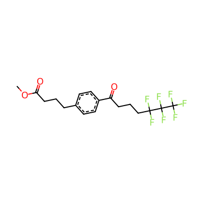 COC(=O)CCCc1ccc(C(=O)CCCC(F)(F)C(F)(F)C(F)(F)F)cc1